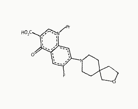 CC(C)n1cc(C(=O)O)c(=O)c2cc(F)c(N3CCC4(CCOC4)CC3)cc21